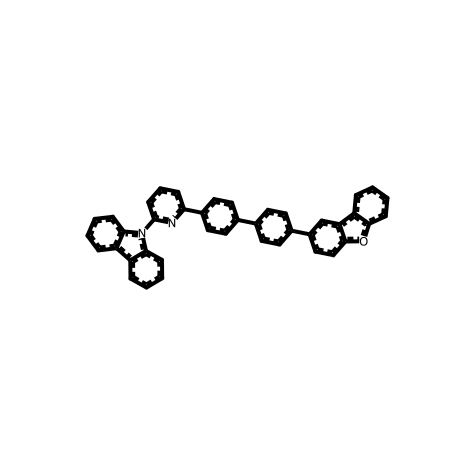 c1cc(-c2ccc(-c3ccc(-c4ccc5oc6ccccc6c5c4)cc3)cc2)nc(-n2c3ccccc3c3ccccc32)c1